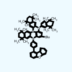 CC(C)(C)c1cc2c3c(c1)N(c1ccc4c(c1)C(C)(C)CCC4(C)C)c1cc4c(cc1B3c1cc3c(cc1N2c1ccc(-c2cccc5oc6ccccc6c25)cc1)C(C)(C)CCC3(C)C)C(C)(C)CCC4(C)C